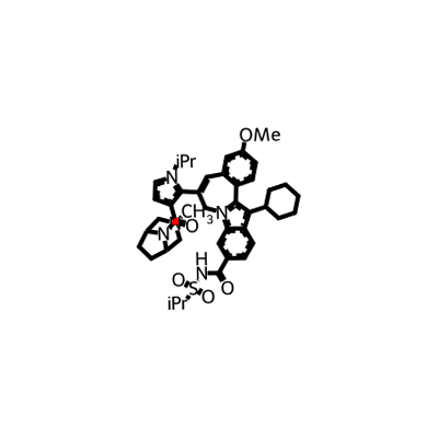 COc1ccc2c(c1)C=C(c1c(C(=O)N3C4CCC3CN(C)C4)ccn1C(C)C)Cn1c-2c(C2CCCCC2)c2ccc(C(=O)NS(=O)(=O)C(C)C)cc21